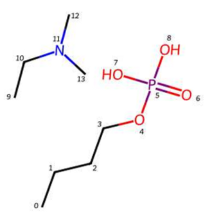 CCCCOP(=O)(O)O.CCN(C)C